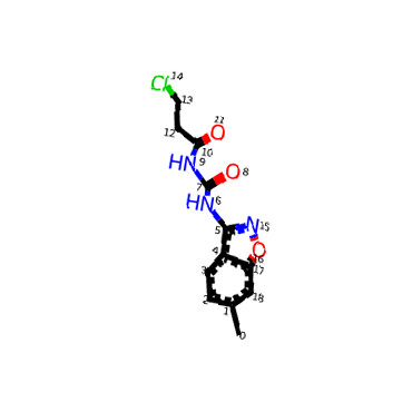 Cc1ccc2c(NC(=O)NC(=O)CCCl)noc2c1